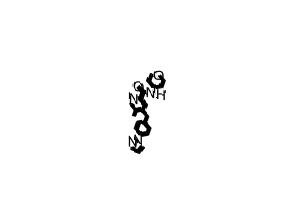 Cc1cnc(C(=O)NC2CCOCC2)cc1Cc1ccc(-n2cccn2)cc1